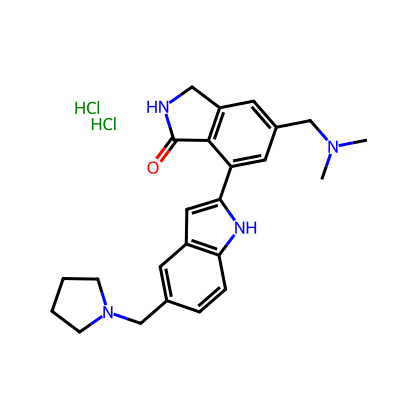 CN(C)Cc1cc2c(c(-c3cc4cc(CN5CCCC5)ccc4[nH]3)c1)C(=O)NC2.Cl.Cl